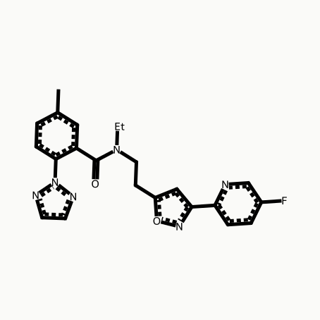 CCN(CCc1cc(-c2ccc(F)cn2)no1)C(=O)c1cc(C)ccc1-n1nccn1